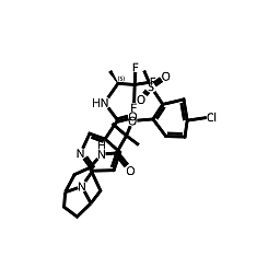 C[C@H](NC(=O)c1ccc(N2C3CCC2CC(NC(=O)C(C)(C)Oc2ccc(Cl)cc2S(C)(=O)=O)C3)nc1)C(F)(F)F